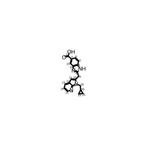 O=C(O)c1ccc2[nH]c(Cc3cc4cccnc4n3CC3CC3)nc2c1